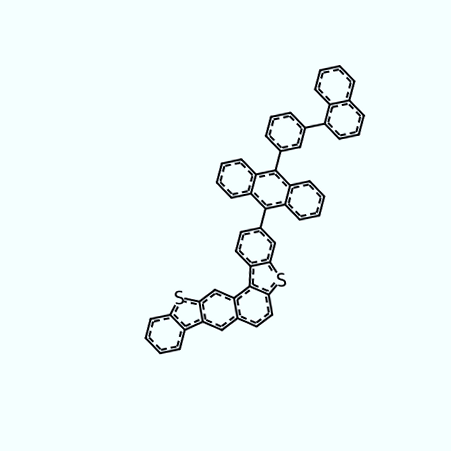 c1cc(-c2cccc3ccccc23)cc(-c2c3ccccc3c(-c3ccc4c(c3)sc3ccc5cc6c(cc5c34)sc3ccccc36)c3ccccc23)c1